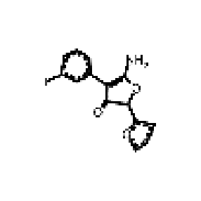 NC1=C(c2cccc(I)c2)C(=O)C(c2ccco2)O1